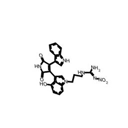 NC(=N[N+](=O)[O-])NCCCn1cc(C2=C(c3c[nH]c4ccccc34)C(=O)NC2=O)c2c(O)cccc21